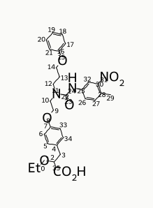 CCOC(Cc1ccc(OCCN(CCCOc2ccccc2)C(=O)Nc2ccc(C)c([N+](=O)[O-])c2)cc1)C(=O)O